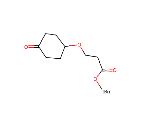 CC(C)(C)OC(=O)CCOC1CCC(=O)CC1